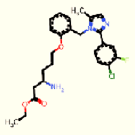 CCOC(=O)C[C@H](N)CCCOc1ccccc1Cn1c(C)cnc1-c1ccc(Cl)c(F)c1